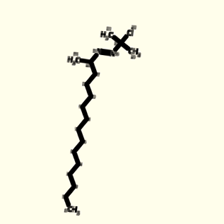 CCCCCCCCCCCCCC(C)/N=N/C(C)(C)Cl